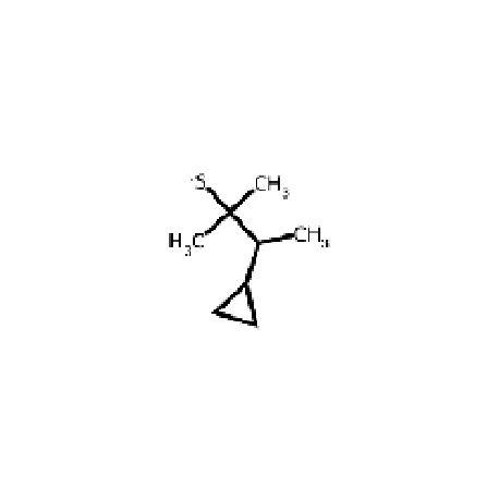 CC(C1CC1)C(C)(C)[S]